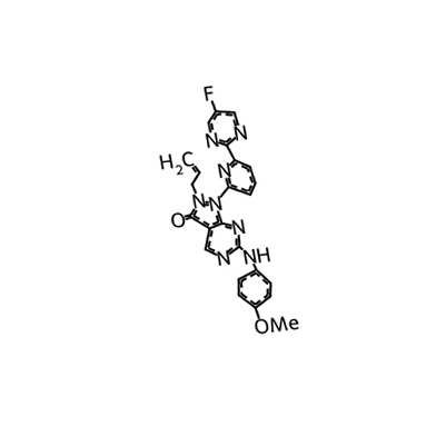 C=CCn1c(=O)c2cnc(Nc3ccc(OC)cc3)nc2n1-c1cccc(-c2ncc(F)cn2)n1